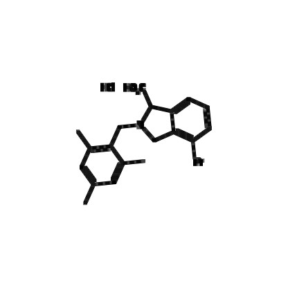 Cc1cc(C)c(CN2Cc3c(C(C)C)cccc3C2C(=O)O)c(C)c1.Cl